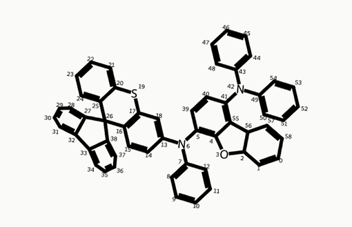 C1=CC2Oc3c(N(c4ccccc4)c4ccc5c(c4)Sc4ccccc4C54c5ccccc5-c5ccccc54)ccc(N(c4ccccc4)c4ccccc4)c3C2C=C1